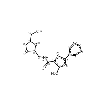 Cc1nc(-c2cccnc2)sc1C(=O)NCC1OCC(CCl)O1